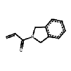 C=CC(=O)N1Cc2ccccc2C1